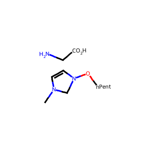 CCCCCON1C=CN(C)C1.NCC(=O)O